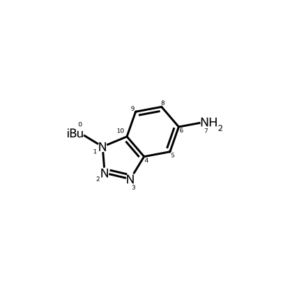 CCC(C)n1nnc2cc(N)ccc21